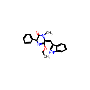 CCOC1=NC(c2ccccc2)C(=O)N(C)C1=Cc1c[nH]c2ccccc12